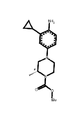 C[C@@H]1CN(c2ccc(N)c(C3CC3)c2)CCN1C(=O)OC(C)(C)C